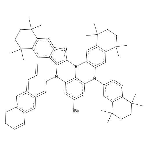 C=C/C=c1/cc2c(c/c1=C/CN1c3cc(C(C)(C)C)cc4c3B(c3cc5c(cc3N4c3ccc4c(c3)C(C)(C)CCC4(C)C)C(C)(C)CCC5(C)C)c3oc4cc5c(cc4c31)C(C)(C)CCC5(C)C)C=CCC2